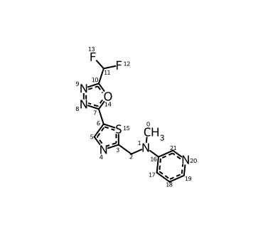 CN(Cc1ncc(-c2nnc(C(F)F)o2)s1)c1cccnc1